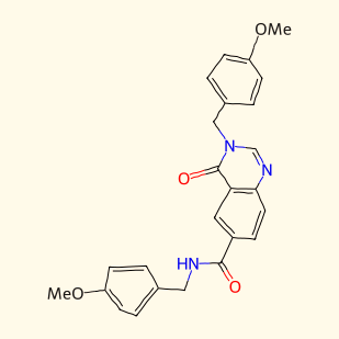 COc1ccc(CNC(=O)c2ccc3ncn(Cc4ccc(OC)cc4)c(=O)c3c2)cc1